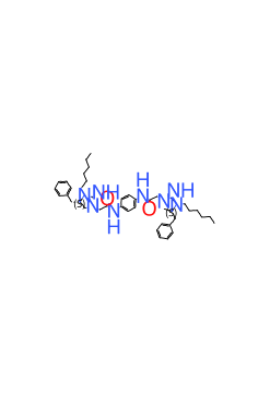 CCCCCCN1C(=N)N(CC(=O)Nc2ccc(NC(=O)CN3C[C@H](Cc4ccccc4)N(CCCCCC)C3=N)cc2)C[C@@H]1Cc1ccccc1